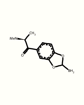 BC1Oc2ccc(C(=O)[C@H](C)NC)cc2O1